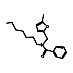 CCCCCCCN(Cc1ccc(C)o1)C(=O)c1ccccc1